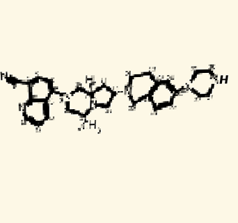 C[C@@H]1CN(c2ccc(C#N)c3ncccc23)C[C@@H]2C[C@H](N3CCc4cc(N5CCNCC5)ccc4C3)CN21